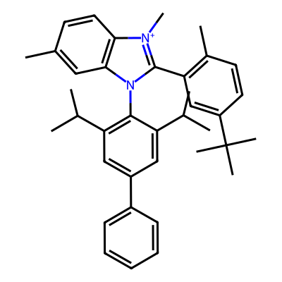 Cc1ccc2c(c1)n(-c1c(C(C)C)cc(-c3ccccc3)cc1C(C)C)c(-c1cc(C(C)(C)C)ccc1C)[n+]2C